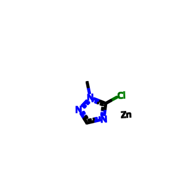 Cn1ncnc1Cl.[Zn]